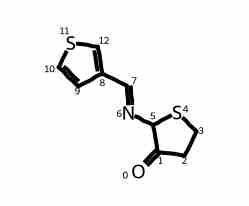 O=C1CCSC1N=Cc1ccsc1